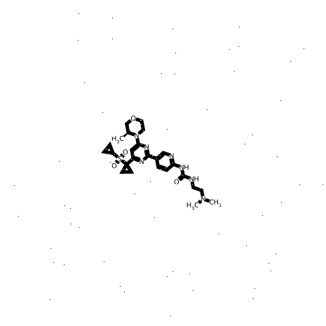 C[C@H]1COCCN1c1cc(C2(S(=O)(=O)C3CC3)CC2)nc(-c2ccc(NC(=O)NCCN(C)C)nc2)n1